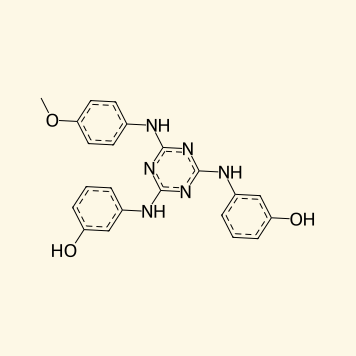 COc1ccc(Nc2nc(Nc3cccc(O)c3)nc(Nc3cccc(O)c3)n2)cc1